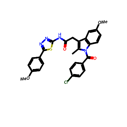 COc1ccc(-c2nnc(NC(=O)Cc3c(C)n(C(=O)c4ccc(Cl)cc4)c4ccc(OC)cc34)s2)cc1